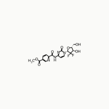 COC(=O)c1ccc(C(=O)Nc2ccn([C@@H]3O[C@H](CO)[C@@H](O)C3(F)F)c(=O)n2)nc1